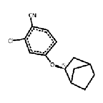 N#Cc1ccc(O[C@H]2CC3CCC2C3)cc1Cl